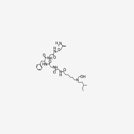 C=C(N)COCNC(=O)CNC(=O)C(Cc1ccccc1)NC(=O)CNC(=O)CNC(=O)CCCCCN(CO)CCC(C)CC